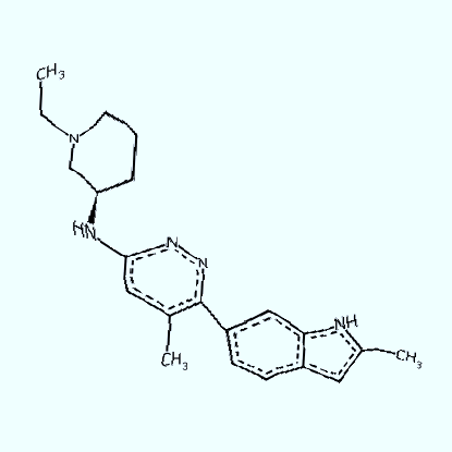 CCN1CCC[C@@H](Nc2cc(C)c(-c3ccc4cc(C)[nH]c4c3)nn2)C1